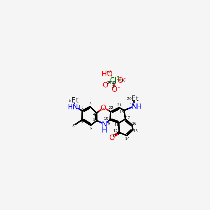 CCNc1cc2c(cc1C)NC1=C3C(=O)C=CC=C3C(NCC)C=C1O2.[O-][Cl+3]([O-])([O-])O